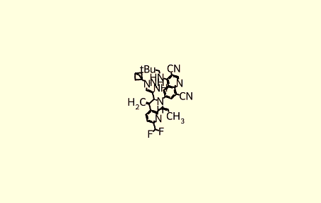 C=C(c1ccc(C(F)F)nc1/C=C\C)[C@H](Nc1cc(C#N)c2ncc(C#N)c(NCC(C)(C)C)c2c1)C1=CN(C23CC(C2)C3)NN1